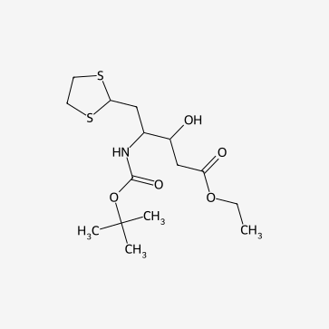 CCOC(=O)CC(O)C(CC1SCCS1)NC(=O)OC(C)(C)C